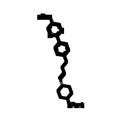 CCCCCCCCCCc1cnc(-c2ccc(CC/C=C/[C@H]3CC[C@H](CCCCC)CC3)cc2)nc1